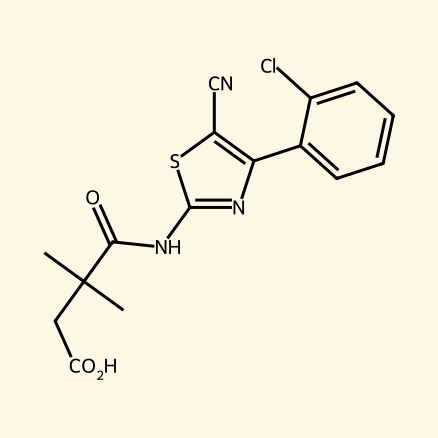 CC(C)(CC(=O)O)C(=O)Nc1nc(-c2ccccc2Cl)c(C#N)s1